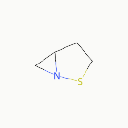 C1CC2CN2S1